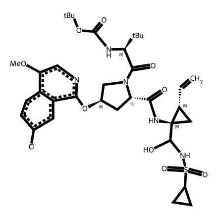 C=C[C@@H]1C[C@]1(NC(=O)[C@@H]1C[C@@H](Oc2ncc(OC)c3ccc(Cl)cc23)CN1C(=O)[C@@H](NC(=O)OC(C)(C)C)C(C)(C)C)C(O)NS(=O)(=O)C1CC1